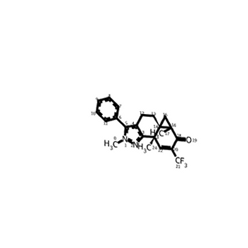 Cn1nc2c(c1-c1ccccc1)CC[C@@]13CC1(C)C(=O)C(C(F)(F)F)=C[C@]23C